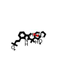 CO[C@@H]1C2C(C)(C)c3[nH]c4c(/C=C/C(C)(C)OC)cccc4c3C[C@@]23CN2CCC[C@@]12CCN3